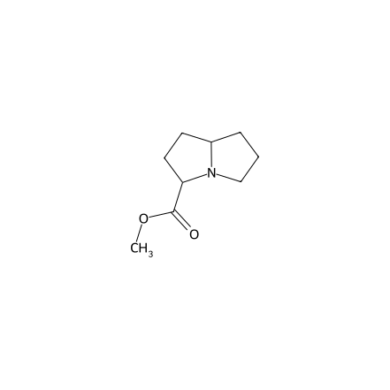 COC(=O)C1CCC2CCCN21